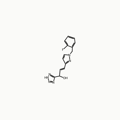 OC(C=Cc1ccn(Cc2ccccc2F)n1)c1nn[nH]n1